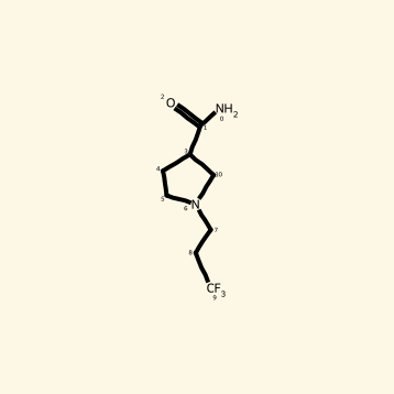 NC(=O)C1CCN(CCC(F)(F)F)C1